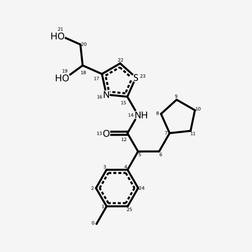 Cc1ccc(C(CC2CCCC2)C(=O)Nc2nc(C(O)CO)cs2)cc1